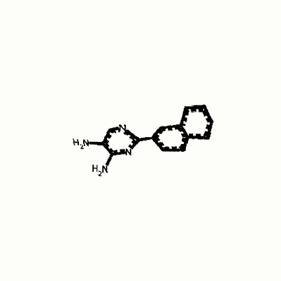 Nc1cnc(-c2ccc3ccccc3c2)nc1N